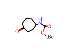 CC(C)(C)OC(=O)NC1CCCC(=O)CC1